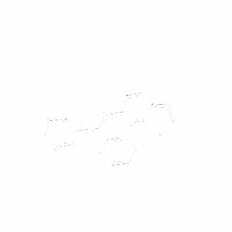 CCOc1cc2nc(C)nn2cc1N=C(c1ccccc1)c1ccccc1